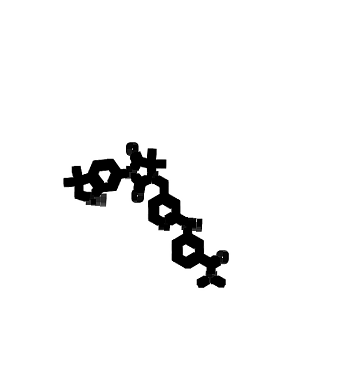 CN(C)C(=O)c1cccc(Nc2cc(CN3C(=O)N(c4ccc5c(c4)NCC5(C)C)C(=O)C3(C)C)ccn2)c1